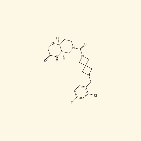 O=C1CO[C@H]2CCN(C(=O)N3CC4(CN(Cc5ccc(F)cc5Cl)C4)C3)C[C@H]2N1